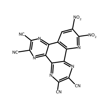 N#Cc1nc2c3cc([N+](=O)[O-])c([N+](=O)[O-])nc3c3nc(C#N)c(C#N)nc3c2nc1C#N